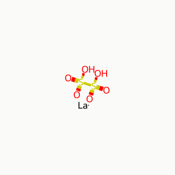 O=S(=O)(O)S(=O)(=O)O.[La]